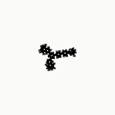 CC1(C)OB(c2ccc(-c3ccc(-c4nc(-c5ccc6c(c5)C(C)(C)C(C)(C)C6(C)C)nc(-c5ccc6c(c5)C(C)(C)C(C)(C)C6(C)C)n4)cn3)cc2)OC1(C)C